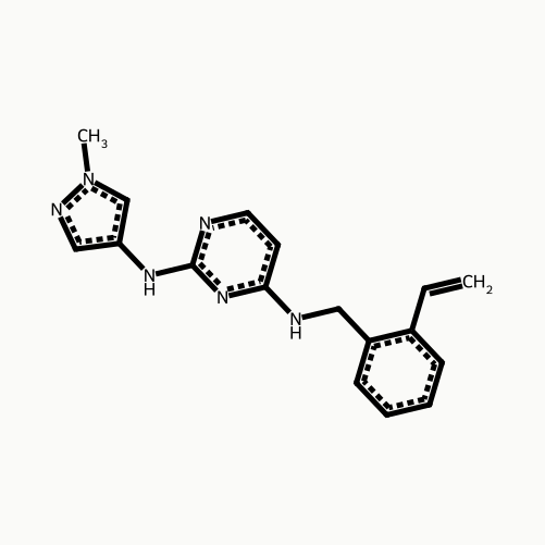 C=Cc1ccccc1CNc1ccnc(Nc2cnn(C)c2)n1